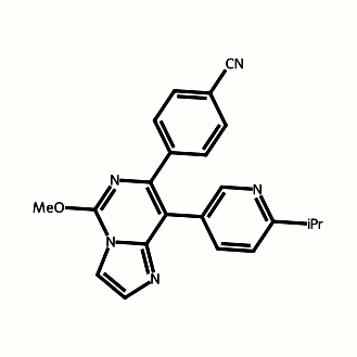 COc1nc(-c2ccc(C#N)cc2)c(-c2ccc(C(C)C)nc2)c2nccn12